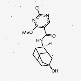 COc1nc(Cl)ncc1C(=O)N[C@H]1C2CC3CC1C[C@@](O)(C3)C2